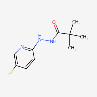 CC(C)(C)C(=O)NNc1ccc(F)cn1